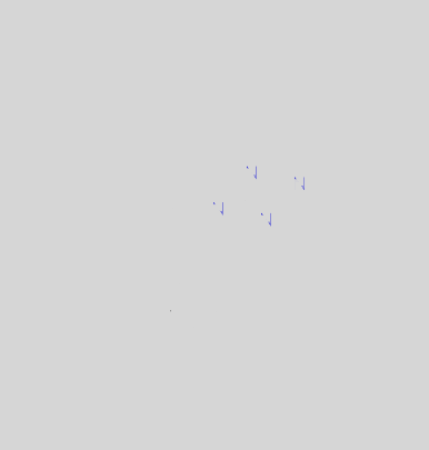 CC1(C)c2ccccc2-c2cc3c(cc21)c1cc(-c2ccccc2)ccc1n3-c1nc(-c2ccccc2)nc(-c2ccccc2)n1